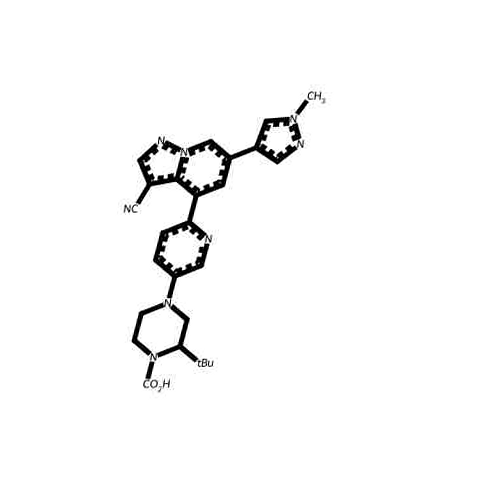 Cn1cc(-c2cc(-c3ccc(N4CCN(C(=O)O)C(C(C)(C)C)C4)cn3)c3c(C#N)cnn3c2)cn1